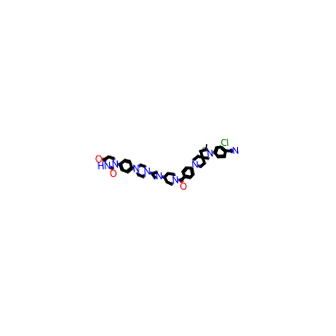 C[C@@H]1CC2(CCN(c3ccc(C(=O)N4CCC(N5CC(N6CCN(c7ccc(N8CCC(=O)NC8=O)cc7)CC6)C5)CC4)cc3)CC2)CN1c1ccc(C#N)c(Cl)c1